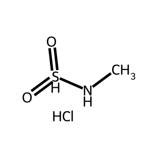 CN[SH](=O)=O.Cl